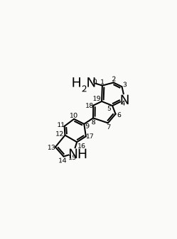 Nc1ccnc2ccc(-c3ccc4cc[nH]c4c3)cc12